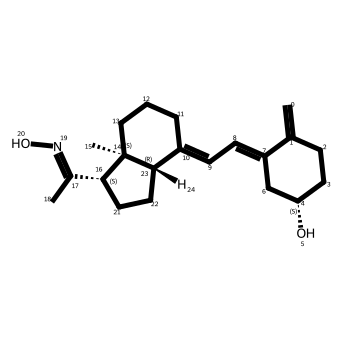 C=C1CC[C@H](O)CC1=CC=C1CCC[C@]2(C)[C@@H](C(C)=NO)CC[C@@H]12